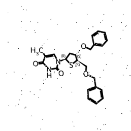 Cc1cn([C@H]2C[C@H](OCc3ccccc3)[C@@H](COCc3ccccc3)S2)c(=O)[nH]c1=O